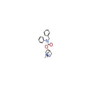 C[N+]12CCC(CC1)C(OC(=O)N(Cc1ccccc1)c1ccccc1)C2